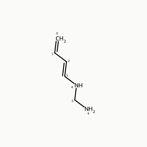 C=C/C=C/NCN